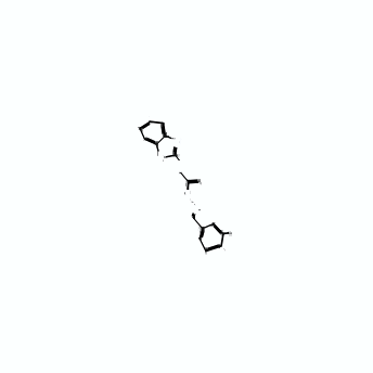 O=C(CSc1nc2ccccc2[nH]1)N/N=C/c1cccc(F)c1